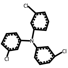 Clc1cccc(N(c2cccc(Cl)c2)c2cccc(Cl)c2)c1